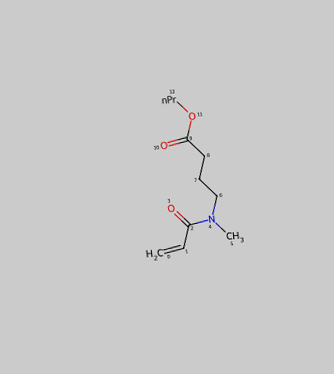 C=CC(=O)N(C)CCCC(=O)OCCC